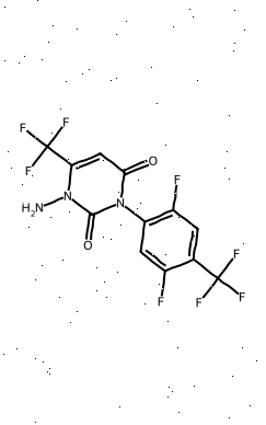 Nn1c(C(F)(F)F)cc(=O)n(-c2cc(F)c(C(F)(F)F)cc2F)c1=O